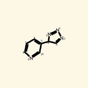 C1=NN=NC1c1cccnc1